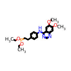 CCOP(CCc1ccc(Nc2ncnc3cc(OC)c(OC)cc23)cc1)OCC